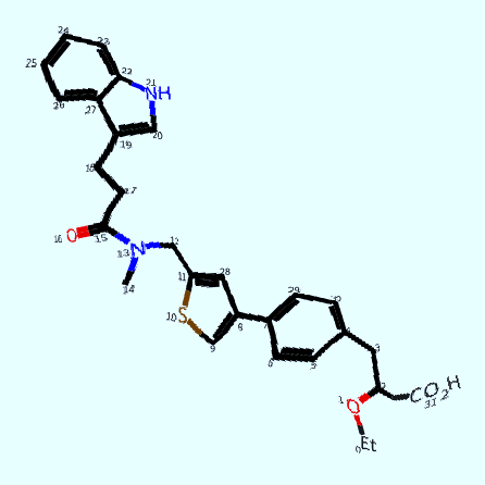 CCOC(Cc1ccc(-c2csc(CN(C)C(=O)CCc3c[nH]c4ccccc34)c2)cc1)C(=O)O